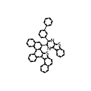 c1ccc(-c2cccc(-c3nc4sc5ccccc5c4nc3-c3cc4ccccc4c4c5ccccc5c5c(sc6ccc7ccccc7c65)c34)c2)cc1